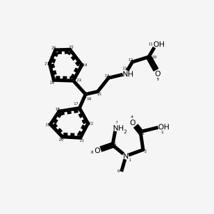 CN(CC(=O)O)C(N)=O.O=C(O)CNCCC(c1ccccc1)c1ccccc1